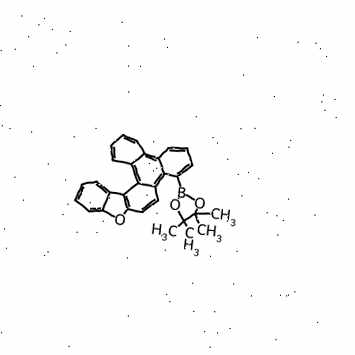 CC1(C)OB(c2cccc3c4ccccc4c4c(ccc5oc6ccccc6c54)c23)OC1(C)C